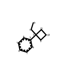 CCC1(c2ccccc2)CCC1